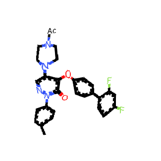 CC(=O)N1CCN(c2cnn(-c3ccc(C)cc3)c(=O)c2Oc2ccc(-c3ccc(F)cc3F)cc2)CC1